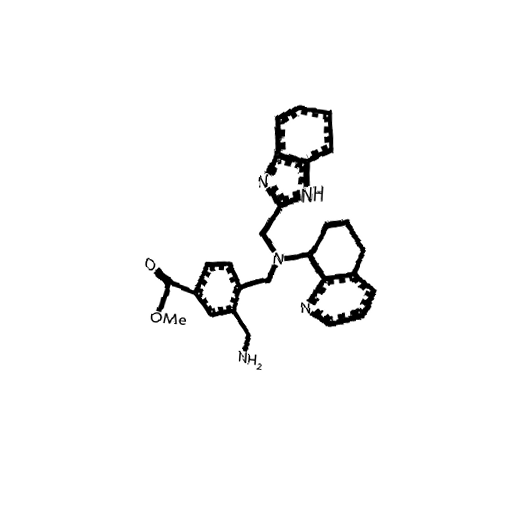 COC(=O)c1ccc(CN(Cc2nc3ccccc3[nH]2)C2CCCc3cccnc32)c(CN)c1